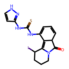 O=C1C2C=CC=C(NC(=S)Nc3cc[nH]n3)C2=C2C(I)CCCN12